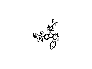 N#CC1(NS(=O)(=O)c2ccc3c4c(N5C6CCC5COC6)ncnc4n(-c4nnc(C(F)F)s4)c3c2)CC1